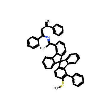 C=C(/C=C(\N=C(/C)c1cccc2c1-c1ccccc1C21c2ccccc2-c2c1ccc(SC)c2-c1ccccc1)c1ccccc1)c1ccccc1